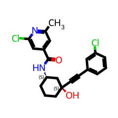 Cc1cc(C(=O)N[C@H]2CCC[C@@](O)(C#Cc3cccc(Cl)c3)C2)cc(Cl)n1